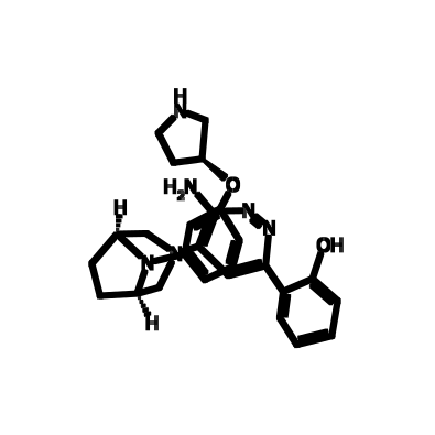 Nc1nnc(-c2ccccc2O)cc1N1C[C@H]2CC[C@@H](C1)N2c1cccc(O[C@H]2CCNC2)c1